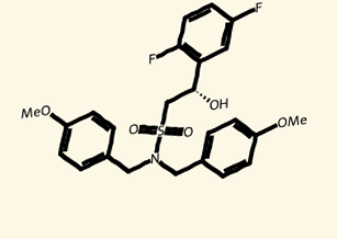 COc1ccc(CN(Cc2ccc(OC)cc2)S(=O)(=O)C[C@@H](O)c2cc(F)ccc2F)cc1